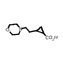 O=C(O)C1CC1CCN1CCOCC1